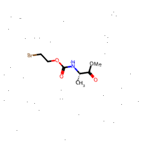 COC(=O)[C@H](C)NC(=O)OCCBr